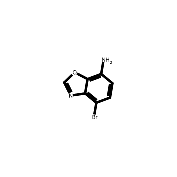 Nc1ccc(Br)c2ncoc12